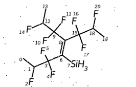 CC(F)C(F)(F)C([SiH3])=C(C(F)(F)C(C)F)C(F)(F)C(C)F